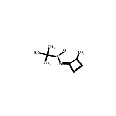 CC1CCC1=N[S+]([O-])C(C)(C)C